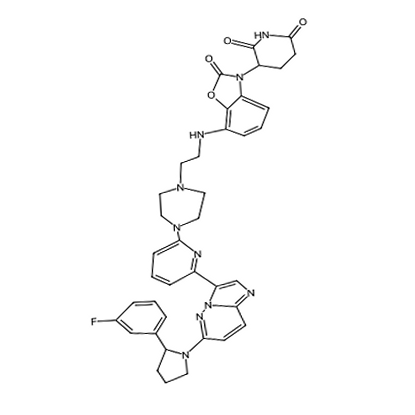 O=C1CCC(n2c(=O)oc3c(NCCN4CCN(c5cccc(-c6cnc7ccc(N8CCCC8c8cccc(F)c8)nn67)n5)CC4)cccc32)C(=O)N1